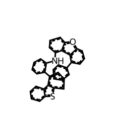 c1ccc(-c2cccc3oc4cccc(Nc5ccccc5-c5cccc6sc7ccccc7c56)c4c23)cc1